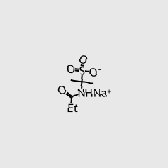 CCC(=O)NC(C)(C)S(=O)(=O)[O-].[Na+]